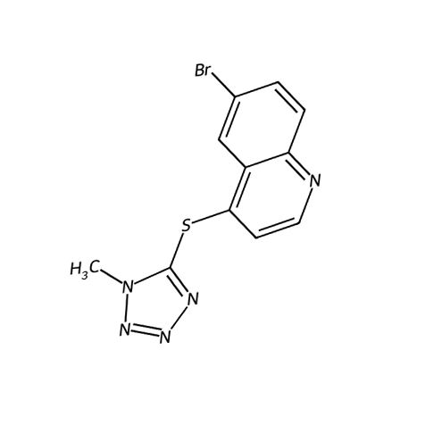 Cn1nnnc1Sc1ccnc2ccc(Br)cc12